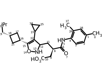 Cc1ccc(NC(=O)[C@@H](CC(=O)O)CC2NOC([C@H]3C[C@@H](CC(C)C)C3)=C2C2CC2)c(C)c1